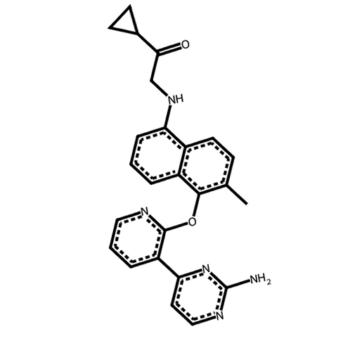 Cc1ccc2c(NCC(=O)C3CC3)cccc2c1Oc1ncccc1-c1ccnc(N)n1